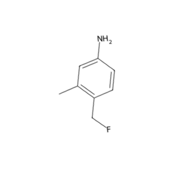 Cc1cc(N)ccc1CF